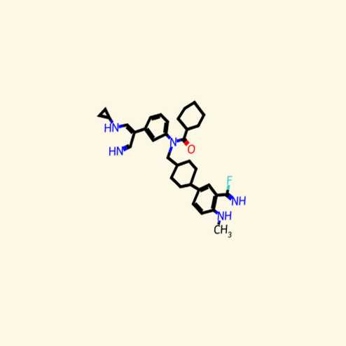 CNc1ccc(C2CCC(CN(C(=O)C3CCCCC3)c3cccc(/C(C=N)=C/NC4CC4)c3)CC2)cc1C(=N)F